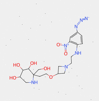 [N-]=[N+]=Nc1ccc(NCCN2CC(OCCC3(CO)NCC(O)C(O)C3O)C2)c([N+](=O)[O-])c1